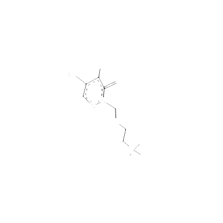 C[Si](C)(C)CCOCn1ncc(Br)c(Br)c1=O